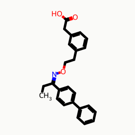 CCC(=NOCCc1cccc(CC(=O)O)c1)c1ccc(-c2ccccc2)cc1